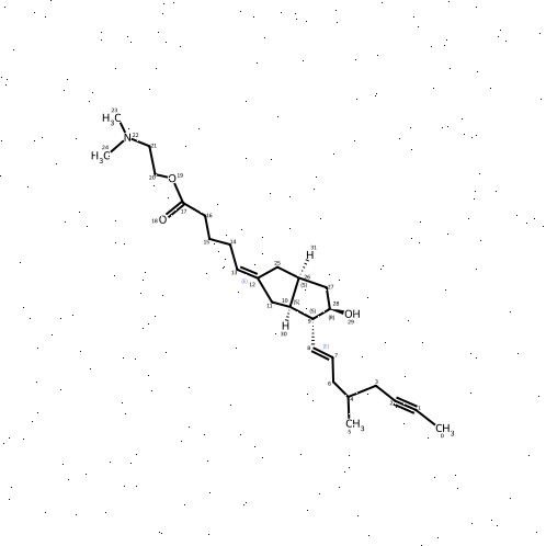 CC#CCC(C)C/C=C/[C@@H]1[C@H]2C/C(=C/CCCC(=O)OCCN(C)C)C[C@H]2C[C@H]1O